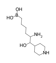 NC(CCCCB(O)O)C(O)C1CCNCC1